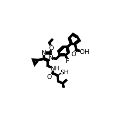 CCOc1nc(C2CC2)c(CNC(=O)[C@@H](S)CC(C)C)n1Cc1ccc(-c2ccccc2C(=O)O)cc1F